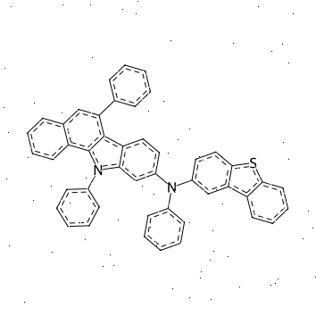 c1ccc(-c2cc3ccccc3c3c2c2ccc(N(c4ccccc4)c4ccc5sc6ccccc6c5c4)cc2n3-c2ccccc2)cc1